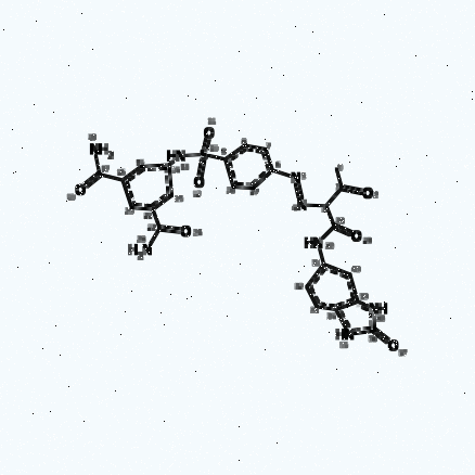 CC(=O)C(N=Nc1ccc(S(=O)(=O)Nc2cc(C(N)=O)cc(C(N)=O)c2)cc1)C(=O)Nc1ccc2[nH]c(=O)[nH]c2c1